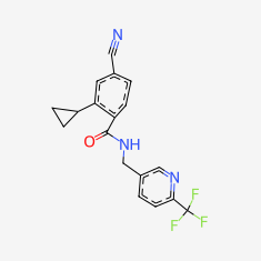 N#Cc1ccc(C(=O)NCc2ccc(C(F)(F)F)nc2)c(C2CC2)c1